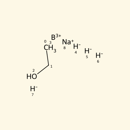 CCO.[B+3].[H-].[H-].[H-].[H-].[Na+]